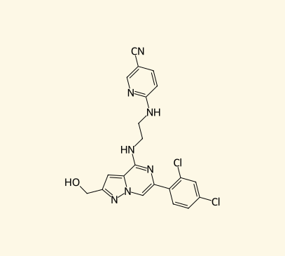 N#Cc1ccc(NCCNc2nc(-c3ccc(Cl)cc3Cl)cn3nc(CO)cc23)nc1